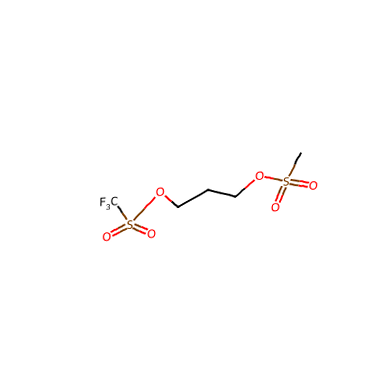 CS(=O)(=O)OCCCOS(=O)(=O)C(F)(F)F